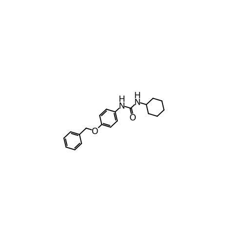 O=C(Nc1ccc(OCc2ccccc2)cc1)NC1CCCCC1